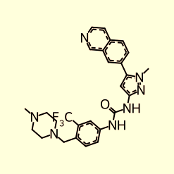 CN1CCN(Cc2ccc(NC(=O)Nc3cc(-c4ccc5ccncc5c4)n(C)n3)cc2C(F)(F)F)CC1